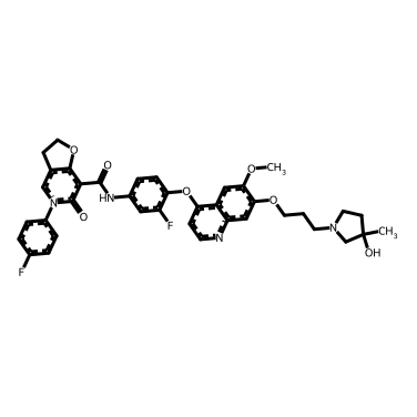 COc1cc2c(Oc3ccc(NC(=O)c4c5c(cn(-c6ccc(F)cc6)c4=O)CCO5)cc3F)ccnc2cc1OCCCN1CCC(C)(O)C1